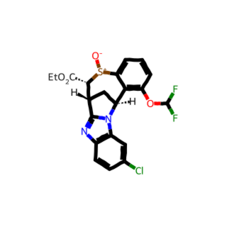 CCOC(=O)[C@H]1[C@@H]2C[C@@H](c3c(OC(F)F)cccc3[S+]1[O-])n1c2nc2ccc(Cl)cc21